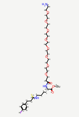 CC(C)(C)OC(=O)[C@H](CCCCNC(=S)CCc1ccc(I)cc1)NC(=O)CCOCCOCCOCCOCCOCCOCCOCCOCCN